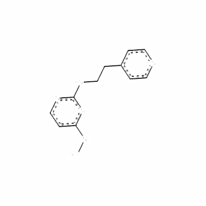 CCCNc1ccnc(NCCc2ccncc2)n1